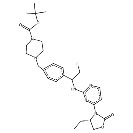 CC[C@H]1COC(=O)N1c1ccnc(NC(CF)c2ccc(CN3CCN(C(=O)OC(C)(C)C)CC3)cc2)n1